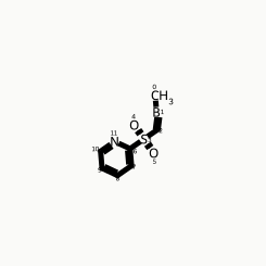 CB=CS(=O)(=O)c1ccccn1